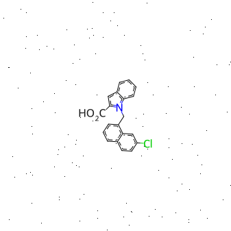 O=C(O)c1cc2ccccc2n1Cc1cccc2ccc(Cl)cc12